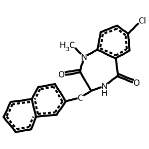 CN1C(=O)C(Cc2ccc3ccccc3c2)NC(=O)c2cc(Cl)ccc21